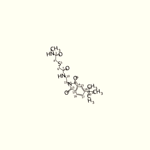 CNC(=O)CSCC(=O)NCCN1C(=O)c2ccc(C(C)(C)C)cc2C1=O